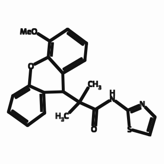 COc1cccc2c1Oc1ccccc1C2C(C)(C)C(=O)Nc1nccs1